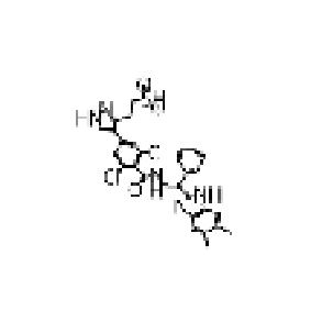 Cc1cc2nc(C(CNC(=O)c3c(Cl)cc(-c4c[nH]nc4CC[SH](=O)=O)cc3Cl)c3ccccc3)[nH]c2cc1C